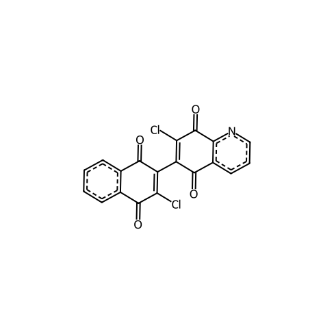 O=C1C(Cl)=C(C2=C(Cl)C(=O)c3ncccc3C2=O)C(=O)c2ccccc21